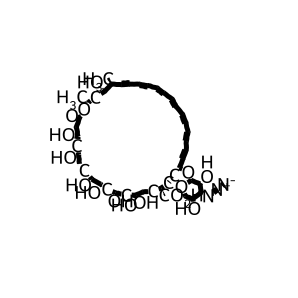 C[C@H]1C[C@H](O)[C@@H](C)/C=C/C=C/C=C/C=C/C=C/C=C/C=C/C(OC2OCC(O)C(N=[N+]=[N-])C2O)CC[C@H](C(=O)O)CCC(O)(O)CC(O)CC(O)C(O)CCC(O)CC(O)CC(=O)O1